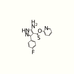 Nc1[nH]nc(-c2ccc(F)cc2)c1C(=S)Oc1ccccn1